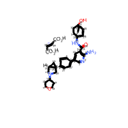 Nc1ncc(-c2ccc([C@@]34C[C@@H]3CN(C3CCOCC3)C4)cc2)cc1C(=O)NC12CCC(O)(CC1)CC2.O=C(O)/C=C/C(=O)O